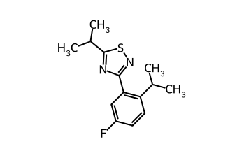 CC(C)c1nc(-c2cc(F)ccc2C(C)C)ns1